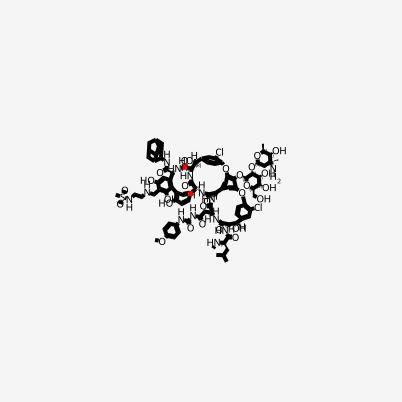 CN[C@H](CC(C)C)C(=O)N[C@H]1C(=O)N[C@@H](CC(=O)NC(=O)Nc2ccc(OC)cc2)C(=O)N[C@H]2C(=O)N[C@H]3C(=O)N[C@H](C(=O)N[C@H](C(=O)NC4C5CC6CC(C5)CC4C6)c4cc(O)c(CNCCNS(C)(=O)=O)c(O)c4-c4cc3ccc4O)[C@H](O)c3ccc(c(Cl)c3)Oc3cc2cc(c3O[C@@H]2O[C@H](CO)[C@@H](O)[C@H](O)[C@H]2O[C@H]2C[C@](C)(N)[C@H](O)[C@H](C)O2)Oc2ccc(cc2Cl)[C@H]1O